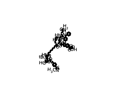 Cc1ncsc1-c1ccc(CNC(=O)[C@@H]2C[C@@H](O)CN2C(=O)[C@@H](NC(=O)CCCCCCCC(=O)N2CC[C@H]3CC[C@@H](C(=O)N[C@@H](CCC(N)=O)C(=O)NC(c4ccccc4)c4ccccc4)N3C(=O)[C@@H](NC(=O)c3cc4cc(C(=O)P(=O)(O)O)ccc4[nH]3)C2)C(C)(C)C)cc1